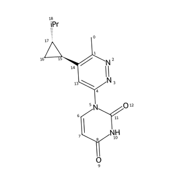 Cc1nnc(-n2ccc(=O)[nH]c2=O)cc1[C@H]1C[C@@H]1C(C)C